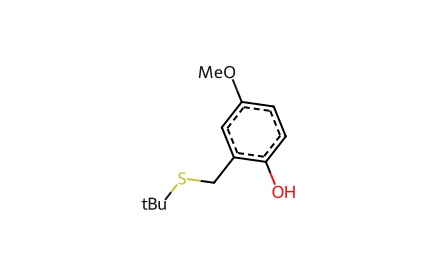 COc1ccc(O)c(CSC(C)(C)C)c1